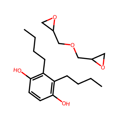 C(OCC1CO1)C1CO1.CCCCc1c(O)ccc(O)c1CCCC